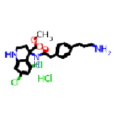 COC(=O)C1(NC(=O)Cc2ccc(CCCN)cc2)CCNc2cc(Cl)cc(Cl)c21.Cl